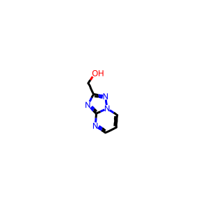 OCc1nc2ncccn2n1